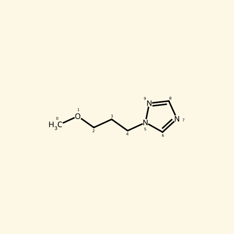 COCCCn1cncn1